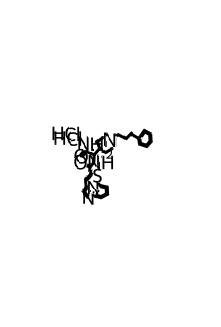 Cl.Cl.NC(=O)C(NC(=O)C1=Cc2cnc3cccc(n23)S1)C1CCN(CCCc2ccccc2)CC1